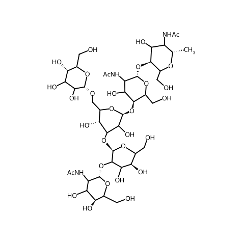 CC(=O)NC1C(O)[C@H](O)C(CO)O[C@H]1OC1C(O)[C@H](O)C(CO)O[C@@H]1OC1C(O)[C@H](O[C@@H]2C(CO)O[C@@H](O[C@@H]3C(CO)O[C@@H](C)C(NC(C)=O)C3O)C(NC(C)=O)C2O)OC(CO[C@H]2OC(CO)[C@@H](O)C(O)C2O)[C@H]1O